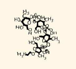 CC1[C@@H](O[PH](=O)O[C@@H]2C(CO)O[C@H](O[PH](=O)O[C@@H]3C(CO)O[C@H](O[PH](=O)O[C@@H]4C(CO)O[C@H](OCCN)C(C)[C@H]4O)C(C)[C@H]3O)C(C)[C@H]2O)OC(CO)[C@@H](O)[C@@H]1O